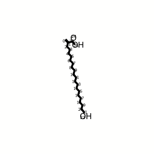 C=C(CCCCCCCCCCCCCCCCCCCCO)C(=O)O